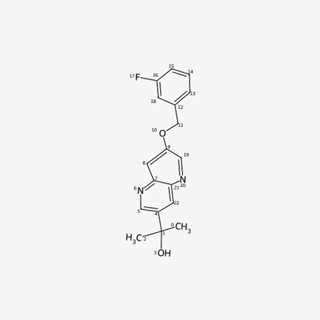 CC(C)(O)c1cnc2cc(OCc3cccc(F)c3)cnc2c1